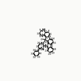 CC1(C)c2c(ccc3nccnc23)-c2ccc3c4ccccc4n(-c4nccc(-c5ccccc5)n4)c3c21